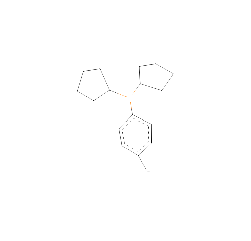 CCc1ccc(P(C2CCCC2)C2CCCC2)cc1